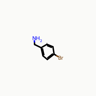 NCc1[c]cc(Br)cc1